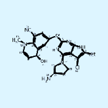 CCc1[nH]c2nc(Sc3cc(C#N)c4c(c3)C(O)C=CN4C)nc(N3CC[C@@H](N)C3)c2c1Cl